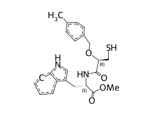 COC(=O)[C@H](Cc1c[nH]c2ccccc12)NC(=O)[C@H](CS)OCc1ccc(C)cc1